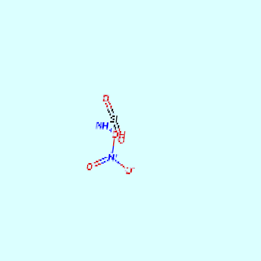 N.O=[N+]([O-])O.O=[Si]=O